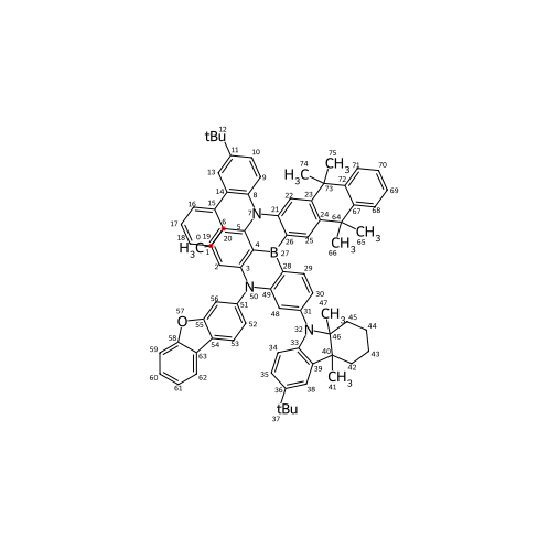 Cc1cc2c3c(c1)N(c1ccc(C(C)(C)C)cc1-c1ccccc1)c1cc4c(cc1B3c1ccc(N3c5ccc(C(C)(C)C)cc5C5(C)CCCCC35C)cc1N2c1ccc2c(c1)oc1ccccc12)C(C)(C)c1ccccc1C4(C)C